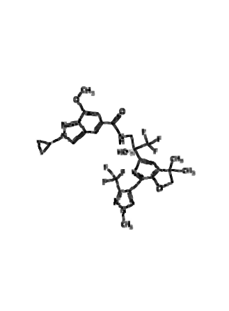 COc1cc(C(=O)NC[C@](O)(c2cc3c(c(-c4cn(C)nc4C(F)(F)F)n2)OCC3(C)C)C(F)(F)F)cc2cn(C3CC3)nc12